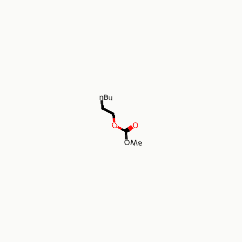 [CH2]OC(=O)OCCCCCC